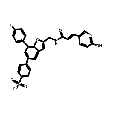 CCS(=O)(=O)c1ccc(-c2cc(-c3ccc(F)cc3)c3oc(CNC(=O)C=Cc4ccc(N)nc4)cc3c2)cc1